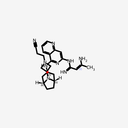 C/C(N)=C/C(=N)Nc1cc2ncccc2c(N[C@@H]2C[C@H]3CC[C@@H](C2)N3C2CN(CCC#N)C2)n1